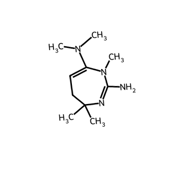 CN(C)C1=CCC(C)(C)N=C(N)N1C